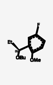 CC[C@H](OCC(C)C)c1cc(F)ccc1OC